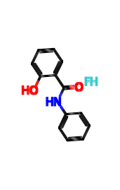 F.O=C(Nc1ccccc1)c1ccccc1O